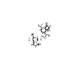 CC(C)c1c(F)cc(COCC(C)c2ncc(Cl)c3[nH]ccc23)c2[nH]ccc12